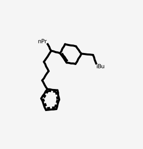 CCCC(CCCc1ccccc1)C1=CCC(CC(C)CC)CC1